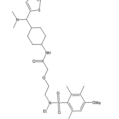 CCN(CCOCC(=O)NC1CCC(C(c2cccs2)N(C)C)CC1)S(=O)(=O)c1c(C)cc(OC)c(C)c1C